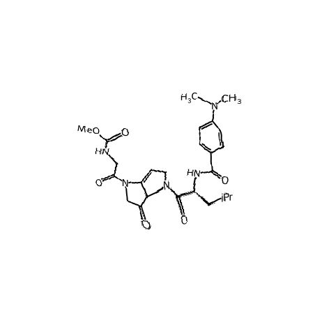 COC(=O)NCC(=O)N1CC(=O)C2C1=CCN2C(=O)[C@H](CC(C)C)NC(=O)c1ccc(N(C)C)cc1